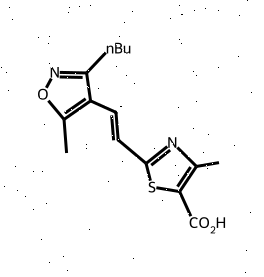 CCCCc1noc(C)c1/C=C/c1nc(C)c(C(=O)O)s1